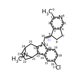 Cc1cc2c(cn1)CC/C2=C\n1c2c(c3cc(Cl)ccc31)C1CCC(C2)N1C